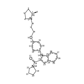 C[C@@H]1CCCN1CCCOc1ccc(-n2c(C(=O)N3CCCC3)cc3ccccc32)cc1